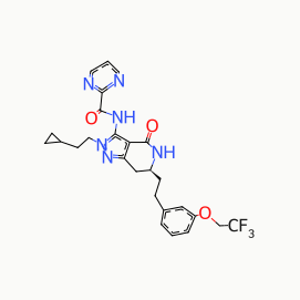 O=C(Nc1c2c(nn1CCC1CC1)C[C@H](CCc1cccc(OCC(F)(F)F)c1)NC2=O)c1ncccn1